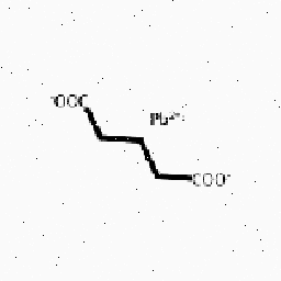 O=C([O-])CCCC(=O)[O-].[Pb+2]